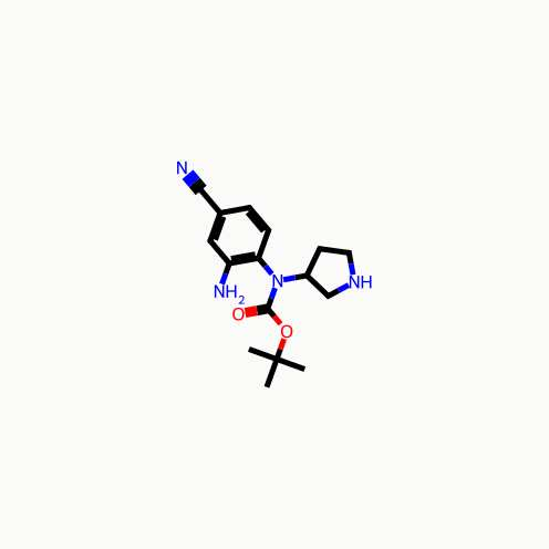 CC(C)(C)OC(=O)N(c1ccc(C#N)cc1N)C1CCNC1